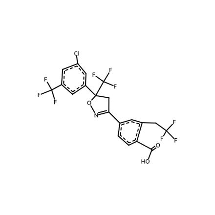 O=C(O)c1ccc(C2=NOC(c3cc(Cl)cc(C(F)(F)F)c3)(C(F)(F)F)C2)cc1CC(F)(F)F